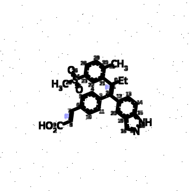 CC/C(=C(/c1ccc(/C=C/C(=O)O)cc1)c1ccc2[nH]ncc2c1)c1cc(S(C)(=O)=O)ccc1C